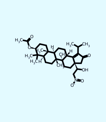 CC(=O)O[C@H]1CC[C@]2(C)[C@H]3CC[C@@H]4C5=C(C(C)C)C(=O)C[C@]5(C(O)C[N+](=O)[O-])CC[C@@]4(C)[C@]3(C)CC[C@H]2C1(C)C